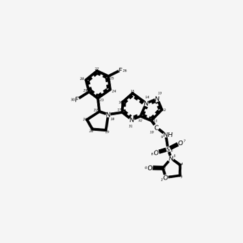 O=C1OCCN1S(=O)(=O)NCc1cnn2ccc(N3CCCC3c3cc(F)ccc3F)nc12